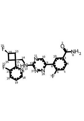 NC(=O)c1ccc(F)c(-c2cnc(NC[C@]3(c4ncccc4F)C[C@H](F)C3)nn2)c1